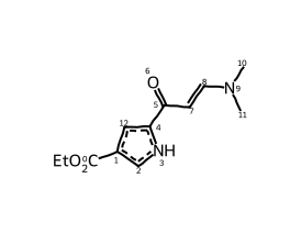 CCOC(=O)c1c[nH]c(C(=O)C=CN(C)C)c1